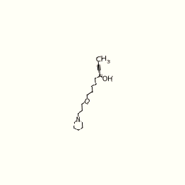 CC#C[C@@H](O)CCCCCOCCCN1CCCCC1